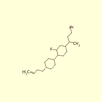 C=CCCC1CCC(C2CCC(C(C)CCC(C)C)CC2F)CC1